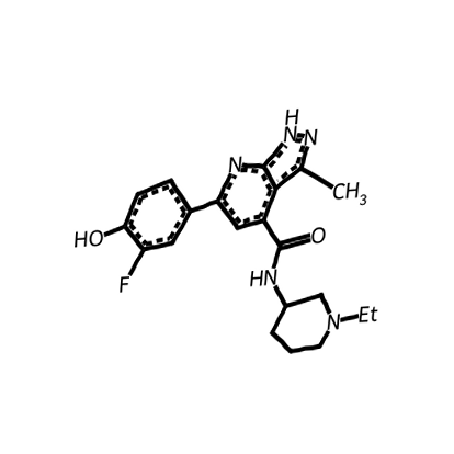 CCN1CCCC(NC(=O)c2cc(-c3ccc(O)c(F)c3)nc3[nH]nc(C)c23)C1